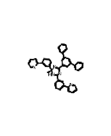 CC1(c2cccc(-c3ccccn3)c2)N=C(c2cc(-c3ccccc3)cc(-c3ccccc3)c2)N=C(c2cccc(-c3ccccn3)c2)N1